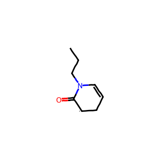 CCCN1C=CC[CH]C1=O